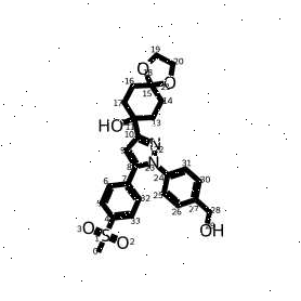 CS(=O)(=O)c1ccc(-c2cc(C3(O)CCC4(CC3)OCCO4)nn2-c2ccc(CO)cc2)cc1